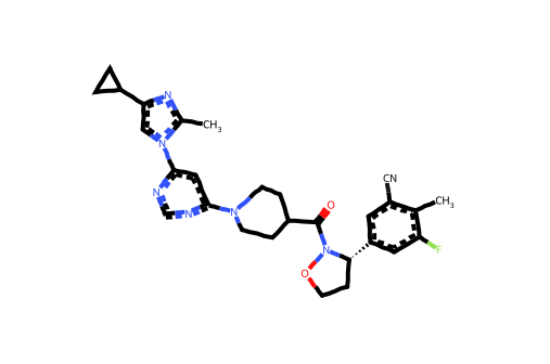 Cc1c(F)cc([C@@H]2CCON2C(=O)C2CCN(c3cc(-n4cc(C5CC5)nc4C)ncn3)CC2)cc1C#N